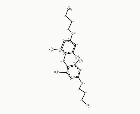 CCCCOc1cc(C)c([I+]c2c(C)cc(OCCCC)cc2C)c(C)c1